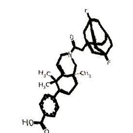 CC1(C)C(c2ccc(C(=O)O)cc2)=CC[C@]2(C)CN(C(=O)CC34CC5CC(F)(CC(F)(C5)C3)C4)CC=C12